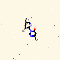 N#Cc1cc(C(F)(F)F)cnc1-n1cnc(C(F)(F)F)cc1=O